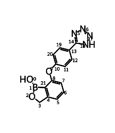 OB1OCc2cccc(Oc3ccc(-c4nnn[nH]4)cc3)c21